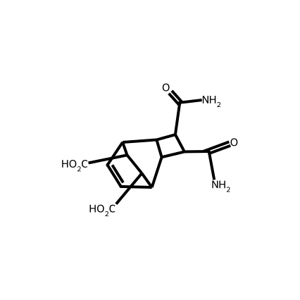 NC(=O)C1C(C(N)=O)C2C3C=CC(C(C(=O)O)C3C(=O)O)C12